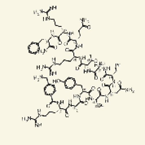 CC[C@H](C)[C@H](NC(=O)[C@H](Cc1ccc(O)cc1)NC(=O)[C@H](C)NC(=O)[C@H](CCCNC(=N)N)NC(=O)c1ccc(CN)cc1)C(=O)N[C@@H](CC(N)=O)C(=O)N[C@@H](CC(C)C)C(=O)N[C@H](C(=O)N[C@H](C(=O)N[C@@H](CCCNC(=N)N)C(=O)N[C@@H](CCC(N)=O)C(=O)N[C@@H](CCCNC(=N)N)C(=O)N[C@@H](Cc1ccccc1)C(N)=O)[C@@H](C)O)[C@@H](C)CC